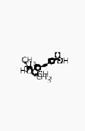 CCOC(=O)CC1(O)CCC(C)(C)c2cc(C#Cc3ccc(C(=O)O)cc3)ccc21